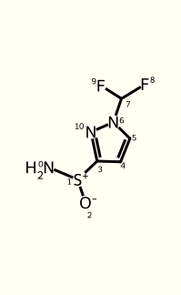 N[S+]([O-])c1ccn(C(F)F)n1